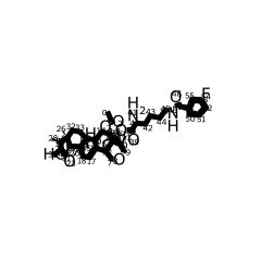 CC(=O)O[C@@H]1C[C@@]23COC[C@](C)([C@@H]2CC[C@H]2C3=CC[C@@]3(C)[C@H](C(=O)O)[C@@](C)([C@H](C)C(C)C)CC[C@]23C)[C@H]1OC(=O)C(N)CCCCNC(=O)c1cccc(F)c1